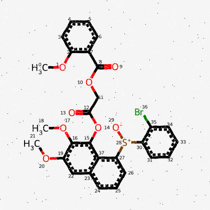 COc1ccccc1C(=O)OCC(=O)Oc1c(OC)c(OC)cc2cccc([S+]([O-])c3ccccc3Br)c12